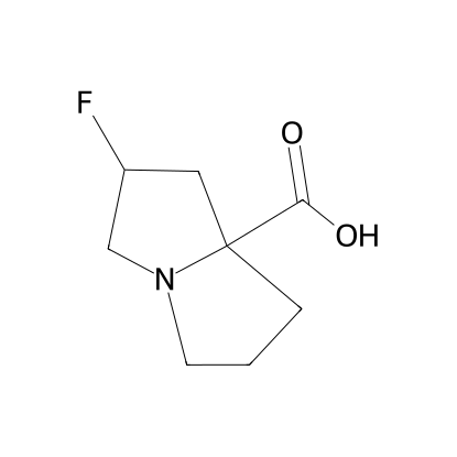 O=C(O)C12CCCN1CC(F)C2